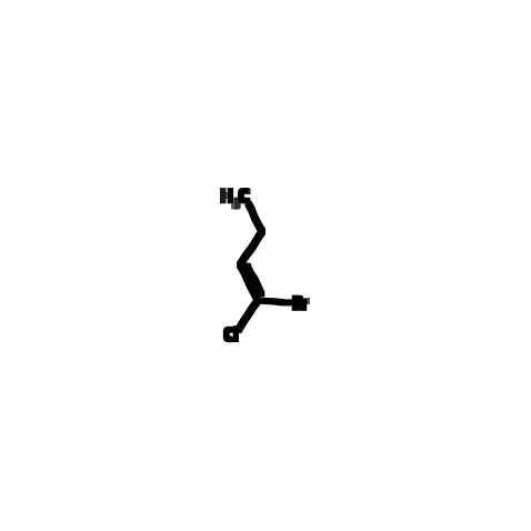 CCC=C(Cl)Br